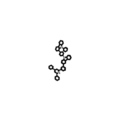 c1ccc(-c2cc(-c3ccccc3)nc(-c3cccc(-c4ccc5c(c4)c4ccccc4n5-c4ccc(-c5cccc6c7ccccc7n(-c7ccccc7)c56)cc4)c3)c2)cc1